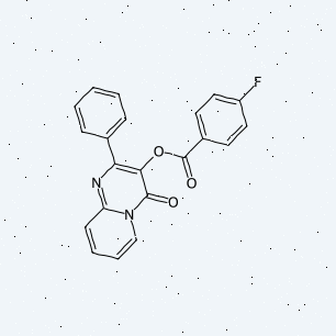 O=C(Oc1c(-c2ccccc2)nc2ccccn2c1=O)c1ccc(F)cc1